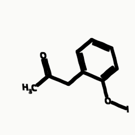 CC(=O)Cc1ccccc1OI